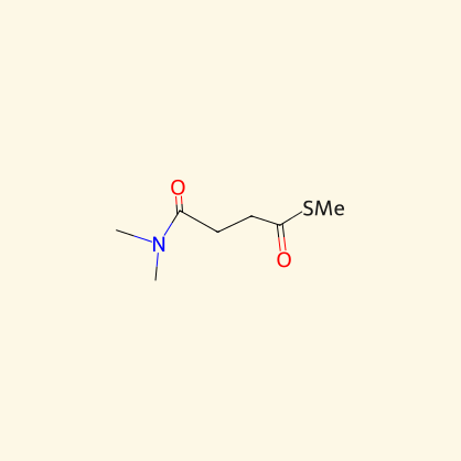 CSC(=O)CCC(=O)N(C)C